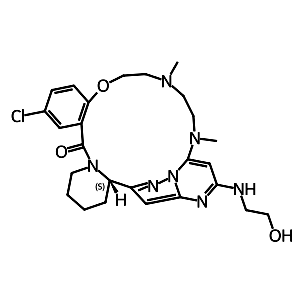 CN1CCOc2ccc(Cl)cc2C(=O)N2CCCC[C@H]2c2cc3nc(NCCO)cc(n3n2)N(C)CC1